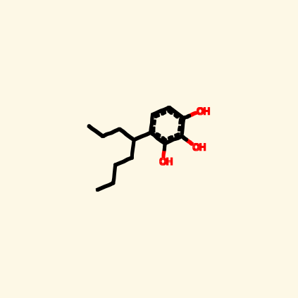 CCCCC(CCC)c1ccc(O)c(O)c1O